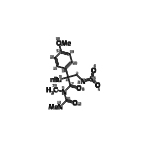 CCCCC(CN=S(=O)=O)(C(=O)N(C)C(=O)NC)c1ccc(OC)cc1